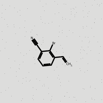 C=[C]c1cccc(C#N)c1Br